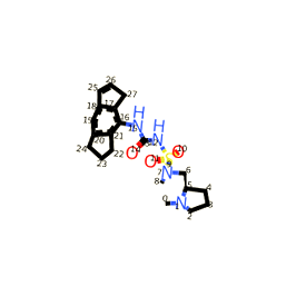 CN1CCC[C@@H]1CN(C)S(=O)(=O)NC(=O)Nc1c2c(cc3c1CCC3)C=CC2